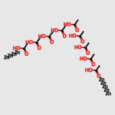 CC(=O)O.CC(=O)O.CC(=O)O.CC(=O)O.CC(=O)O.CC(=O)O.CC(=O)O.CC(=O)O.CC(=O)O.[Zn].[Zn].[Zn].[Zn].[Zn].[Zn].[Zn].[Zn].[Zn]